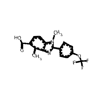 Cc1c(C(=O)O)ccc2c1nc(-c1ccc(OC(F)(F)F)cc1)n2C